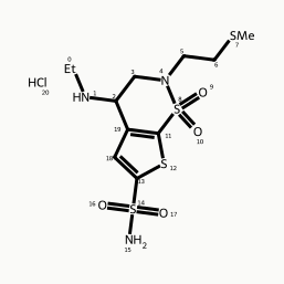 CCNC1CN(CCSC)S(=O)(=O)c2sc(S(N)(=O)=O)cc21.Cl